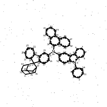 c1ccc(-n2c3ccccc3c3cc(N(c4ccc5c(c4)-c4ccccc4C54C5CC6CC(C5)CC4C6)c4cc5ccccc5c5ccccc45)ccc32)cc1